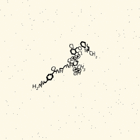 CS(=O)(=O)O.Cc1cn2cccc(OCc3c(Cl)ccc(S(=O)(=O)N4CCC[C@H]4C(=O)NCCCNC(=O)c4ccc(C=NN)cc4)c3Cl)c2n1